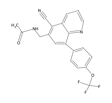 CC(=O)NCc1cc(-c2ccc(OC(F)(F)F)cc2)c2ncccc2c1C#N